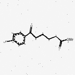 COC(=O)CCCCC(=O)c1ccc(F)cc1